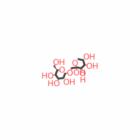 OC[C@H]1O[C@@H](OC[C@]2(O)OC[C@@H](O)[C@@H](O)[C@@H]2O)[C@H](O)[C@@H](O)[C@@H]1O